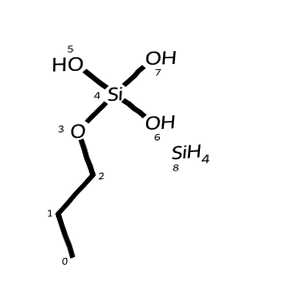 CCCO[Si](O)(O)O.[SiH4]